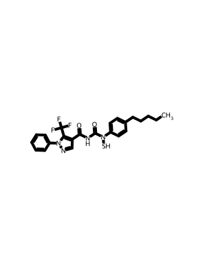 CCCCCc1ccc(N(S)C(=O)NC(=O)c2cnn(-c3ccccc3)c2C(F)(F)F)cc1